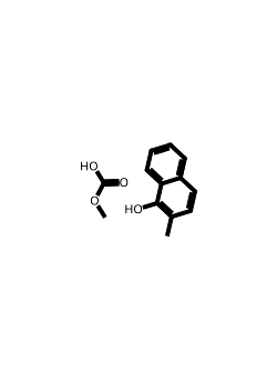 COC(=O)O.Cc1ccc2ccccc2c1O